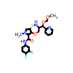 COCOC(c1ccccn1)C1COc2c(cn(C)c2C(=O)Nc2ccc(F)c(F)c2)SN1